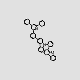 C1=CCC(c2cc(-c3ccccc3)cc(-c3cccc(-c4ccc5c(c4)c4ccccc4n5-c4ccccc4C4=C5Oc6ccccc6C5CC=C4)c3)n2)C=C1